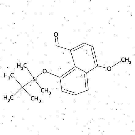 COc1ccc(C=O)c2c(O[Si](C)(C)C(C)(C)C)cccc12